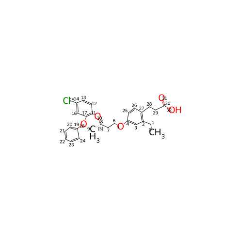 CCc1cc(OCC[C@H](C)Oc2ccc(Cl)cc2Oc2ccccc2)ccc1CCC(=O)O